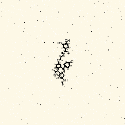 CCNC(=O)C[C@@H]1N=C(c2ccc(Cl)cc2)c2cc(OCCCNC(=O)c3ccc(O)c(O)c3)ccc2N(C(C)N)C1N